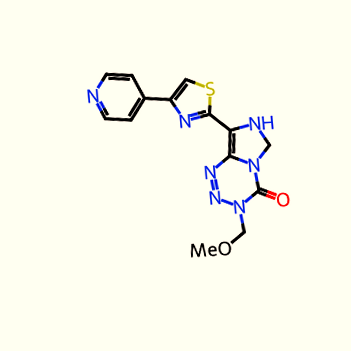 COCN1N=NC2=C(c3nc(-c4ccncc4)cs3)NCN2C1=O